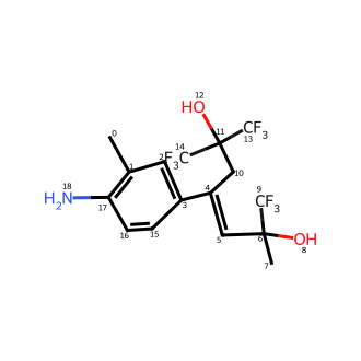 Cc1cc(/C(=C/C(C)(O)C(F)(F)F)CC(O)(C(F)(F)F)C(F)(F)F)ccc1N